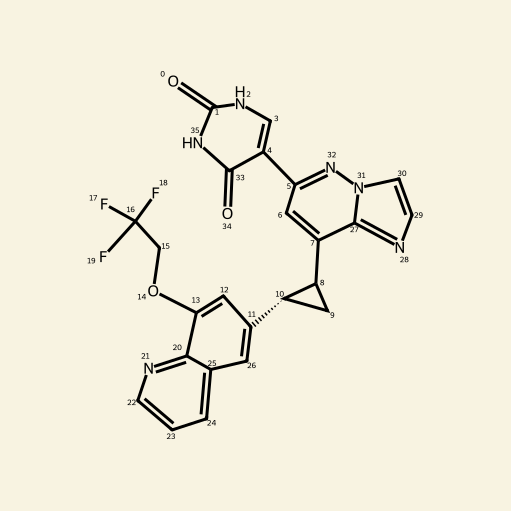 O=c1[nH]cc(-c2cc(C3C[C@@H]3c3cc(OCC(F)(F)F)c4ncccc4c3)c3nccn3n2)c(=O)[nH]1